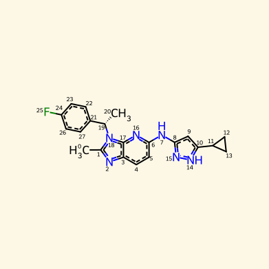 Cc1nc2ccc(Nc3cc(C4CC4)[nH]n3)nc2n1[C@@H](C)c1ccc(F)cc1